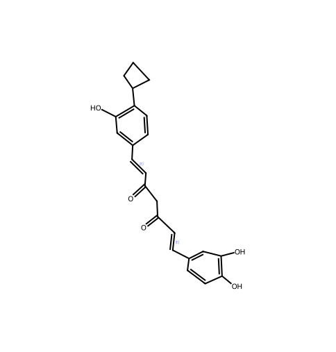 O=C(/C=C/c1ccc(O)c(O)c1)CC(=O)/C=C/c1ccc(C2CCC2)c(O)c1